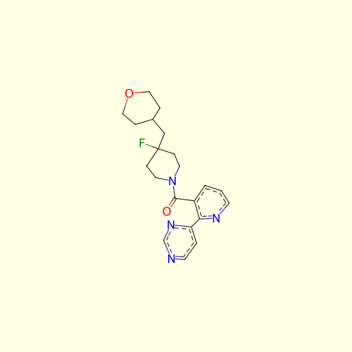 O=C(c1cccnc1-c1ccncn1)N1CCC(F)(CC2CCOCC2)CC1